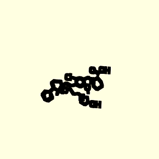 COc1cc(/C=C/C2(OCCCN3CC[C@@H](O)C3)C=CC=C(c3ccccc3)C2(C)C)c(Cl)cc1CN1CCCC[C@H]1C(=O)O